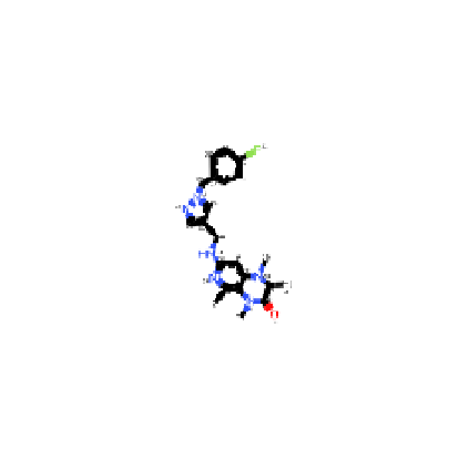 CCC1C(=O)N(C)c2c(cc(NCc3cnn(Cc4ccc(F)cc4)c3)nc2C)N1C